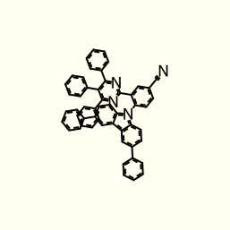 N#Cc1ccc(-n2c3ccc(-c4ccccc4)cc3c3cc(-c4ccccc4)ccc32)c(-c2nc(-c3ccccc3)c(-c3ccccc3)c(-c3ccccc3)n2)c1